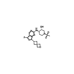 CS(=O)(=O)N1CC[C@@H](Nc2ncc3c(F)cc(C4CC5(COC5)C4)n3n2)[C@H](O)C1